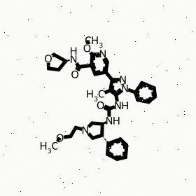 COCCN1C[C@@H](NC(=O)Nc2c(C)c(-c3cnc(OC)c(C(=O)N[C@@H]4CCOC4)c3)nn2-c2ccccc2)[C@H](c2ccccc2)C1